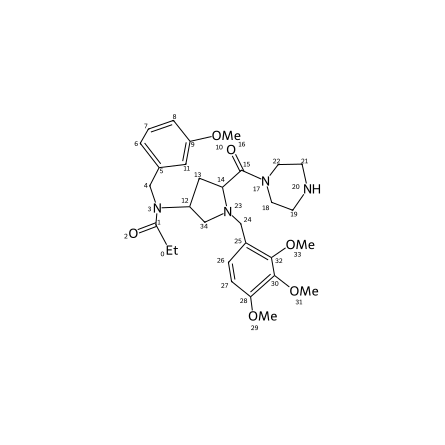 CCC(=O)N(Cc1cccc(OC)c1)C1CC(C(=O)N2CCNCC2)N(Cc2ccc(OC)c(OC)c2OC)C1